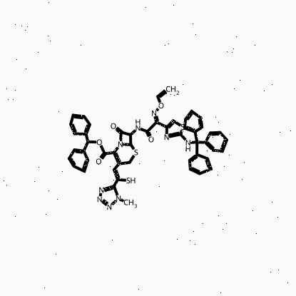 C=CON=C(C(=O)NC1C(=O)N2C(C(=O)OC(c3ccccc3)c3ccccc3)=C(C=C(S)c3nnnn3C)CSC12)c1csc(NC(c2ccccc2)(c2ccccc2)c2ccccc2)n1